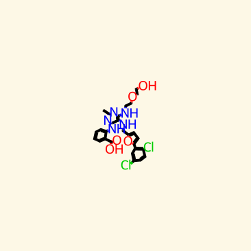 Cc1nc(NCCOCCO)c(NCc2ccc(-c3cc(Cl)ccc3Cl)o2)c(Nc2ccccc2C(=O)O)n1